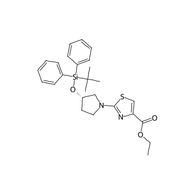 CCOC(=O)c1csc(N2CC[C@H](O[Si](c3ccccc3)(c3ccccc3)C(C)(C)C)C2)n1